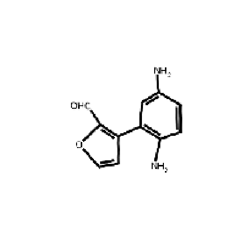 Nc1ccc(N)c(-c2ccoc2C=O)c1